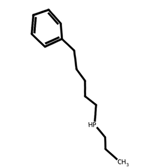 CCCPCCCCCc1ccccc1